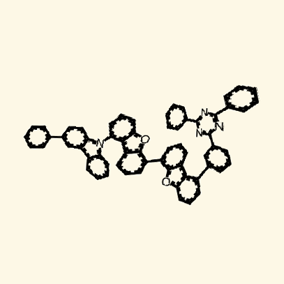 c1ccc(-c2ccc3c(c2)c2ccccc2n3-c2cccc3oc4c(-c5cccc6c5oc5cccc(-c7cccc(-c8nc(-c9ccccc9)nc(-c9ccccc9)n8)c7)c56)cccc4c23)cc1